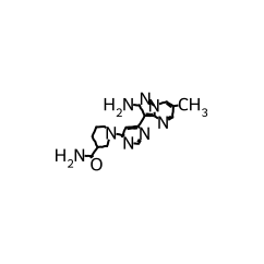 Cc1cnc2c(-c3cc(N4CCCC(C(N)=O)C4)ncn3)c(N)nn2c1